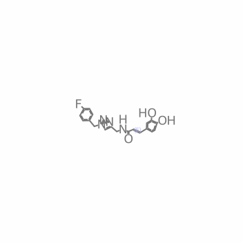 O=C(/C=C/c1ccc(O)c(O)c1)NCc1cn(Cc2ccc(F)cc2)nn1